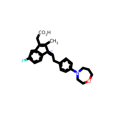 CC1=C(CC(=O)O)c2cc(F)ccc2/C1=C\Cc1ccc(N2CCCOCC2)cc1